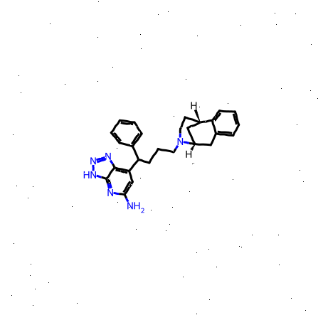 Nc1cc(C(CCCN2CC[C@H]3C[C@@H]2Cc2ccccc23)c2ccccc2)c2nn[nH]c2n1